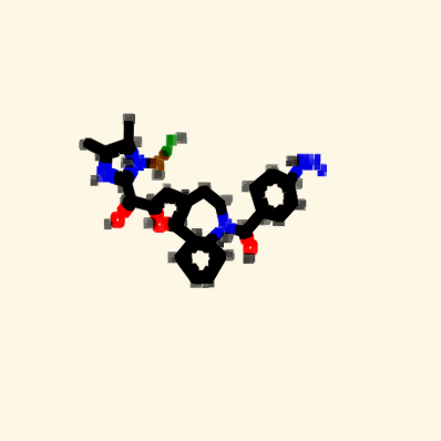 Cc1nc(C(=O)c2cc3c(o2)-c2ccccc2N(C(=O)c2ccc(N)cc2)CC3)n(SF)c1C